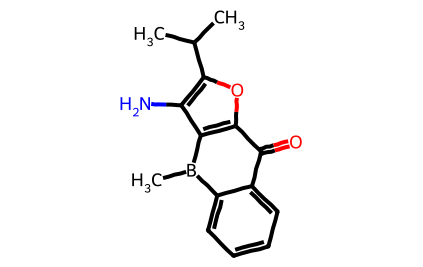 CB1c2ccccc2C(=O)c2oc(C(C)C)c(N)c21